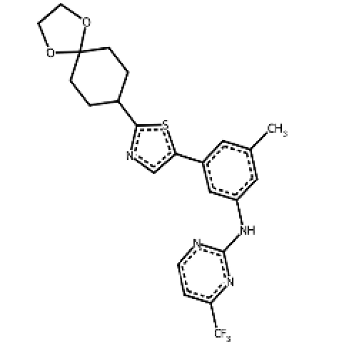 Cc1cc(Nc2nccc(C(F)(F)F)n2)cc(-c2cnc(C3CCC4(CC3)OCCO4)s2)c1